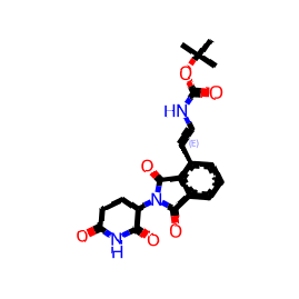 CC(C)(C)OC(=O)N/C=C/c1cccc2c1C(=O)N(C1CCC(=O)NC1=O)C2=O